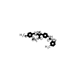 COc1ccc(CNc2nsc(-c3ccc(NC(=O)Nc4cc(C)ccc4F)cc3)c2C(N)=O)c(OC)c1